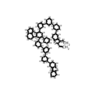 C=Cc1sc2ccc(-c3cccc(-c4cccc(-c5cccc(-c6cc(-c7ccccc7)c(-c7cccc(-c8cccc(-c9cccc(-c%10ccc%11sc%12ccccc%12c%11c%10)c9)c8)c7)c7c6-c6cccc8cccc-7c68)c5)c4)c3)cc2c1C=C